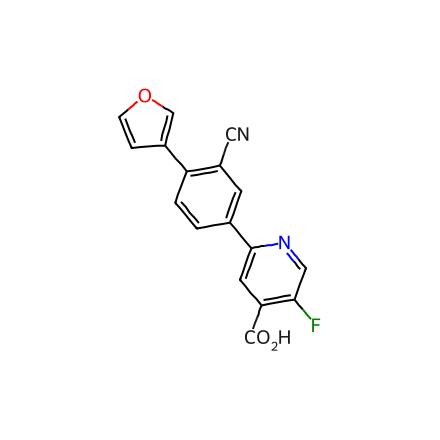 N#Cc1cc(-c2cc(C(=O)O)c(F)cn2)ccc1-c1ccoc1